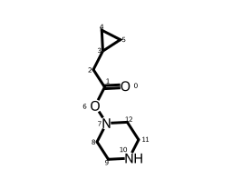 O=C(CC1CC1)ON1CCNCC1